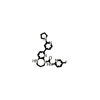 O=C(Nc1ccc(F)cn1)N1CCCNc2ccc(-c3ccnc(N4CCCC4)c3)nc21